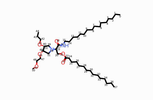 CCCCCCCCCCCCCCCCNC(=O)C(COC(=O)CCCCCCCCCCCCCC)N1C[C@H](OCCC)[C@H](OCCOC)C1